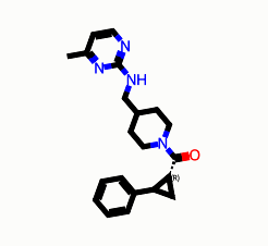 Cc1ccnc(NCC2CCN(C(=O)[C@@H]3CC3c3ccccc3)CC2)n1